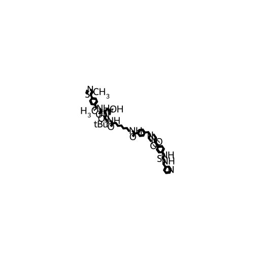 Cc1ncsc1-c1ccc([C@H](C)NC(=O)[C@@H]2C[C@@H](O)CN2C(=O)[C@@H](NC(=O)CCCCCCNC(=O)c2ccc(CN3CCN(S(=O)(=O)c4ccc(NC(=S)NCc5cccnc5)cc4)CC3)cc2)C(C)(C)C)cc1